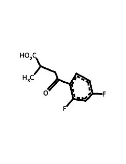 CC(CC(=O)c1ccc(F)cc1F)C(=O)O